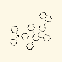 c1ccc(-c2cc(-c3ccccc3)c3c4ccc(-c5cccc6ccccc56)cc4c4ccccc4c3c2-c2ccc(N(c3ccccc3)c3ccccc3)cc2)cc1